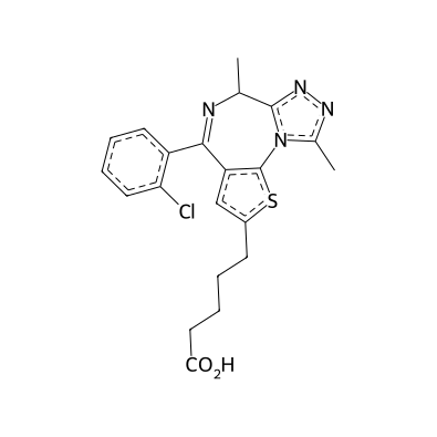 Cc1nnc2n1-c1sc(CCCCC(=O)O)cc1C(c1ccccc1Cl)=NC2C